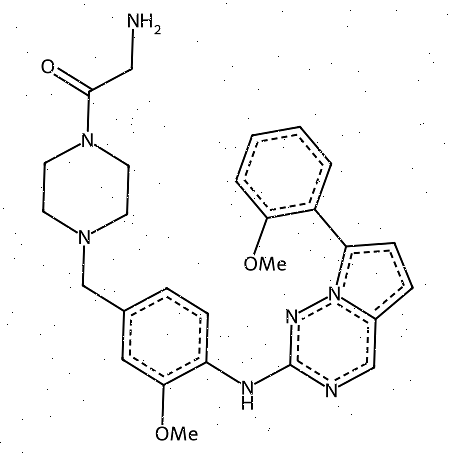 COc1cc(CN2CCN(C(=O)CN)CC2)ccc1Nc1ncc2ccc(-c3ccccc3OC)n2n1